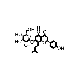 CC(C)=CCc1c(O[C@@H]2O[C@H](CO)[C@@H](O)[C@H](O)[C@H]2O)cc(O)c2c1O[C@H](c1ccc(O)cc1)CC2=O